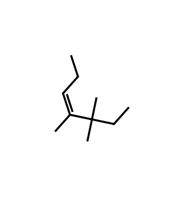 CCC=C(C)C(C)(C)CC